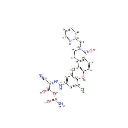 N#CC(=NNc1cc(Cl)c(Oc2ccc3c(c2)CCN(Cc2ccccn2)C3=O)c(Cl)c1)C(=O)OC(N)=O